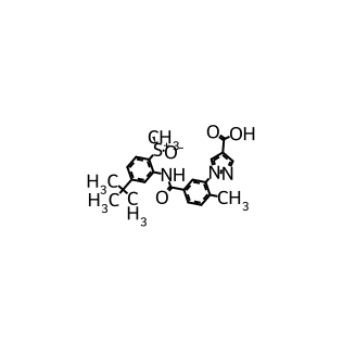 Cc1ccc(C(=O)Nc2cc(C(C)(C)C)ccc2[S@@+](C)[O-])cc1-n1cc(C(=O)O)cn1